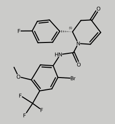 COc1cc(NC(=O)N2C=CC(=O)C[C@H]2c2ccc(F)cc2)c(Br)cc1C(F)(F)F